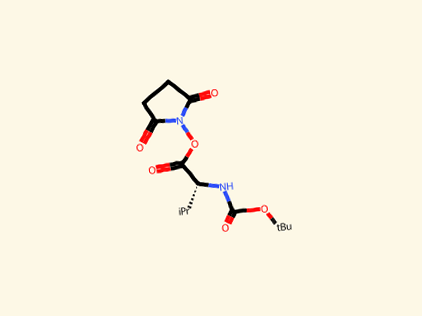 CC(C)[C@@H](NC(=O)OC(C)(C)C)C(=O)ON1C(=O)CCC1=O